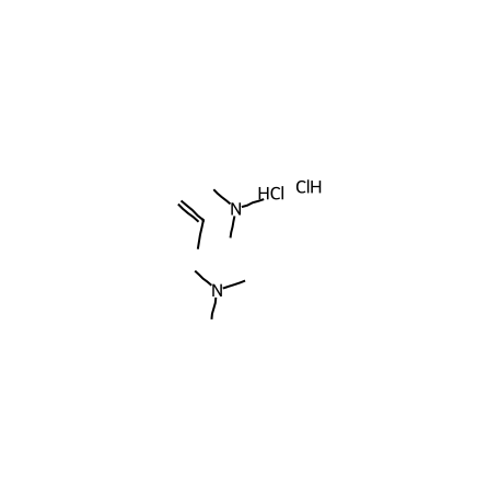 C=CC.CN(C)C.CN(C)C.Cl.Cl